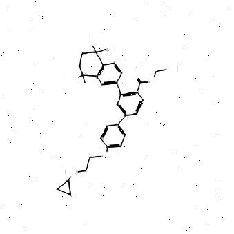 CCOC(=O)c1ccc(-c2ccc(OCCNC3CC3)cc2)cc1-c1ccc2c(c1)C(C)(C)CCC2(C)C